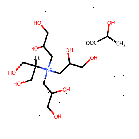 CC(O)C(=O)[O-].CCC(CO)(CO)[N+](CC(O)CO)(CC(O)CO)CC(O)CO